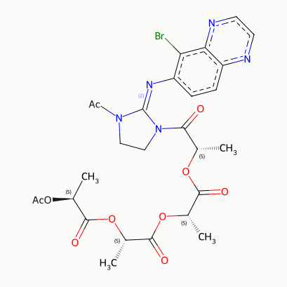 CC(=O)O[C@@H](C)C(=O)O[C@@H](C)C(=O)O[C@@H](C)C(=O)O[C@@H](C)C(=O)N1CCN(C(C)=O)/C1=N/c1ccc2nccnc2c1Br